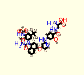 COc1cc(Nc2cc(Oc3ccc(N(C(N)=O)c4cc(C(C)(C)C)cc(NS(C)(=O)=O)c4OC)c4ccccc34)ccn2)ccc1C(=O)NC[C@@H](N)C(=O)O